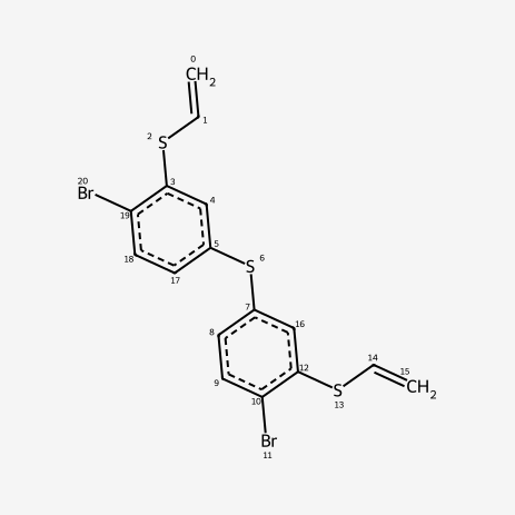 C=CSc1cc(Sc2ccc(Br)c(SC=C)c2)ccc1Br